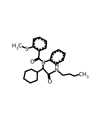 CCCCNC(=O)C(C1CCCCC1)N(C(=O)c1ccccc1SC)c1ccccc1